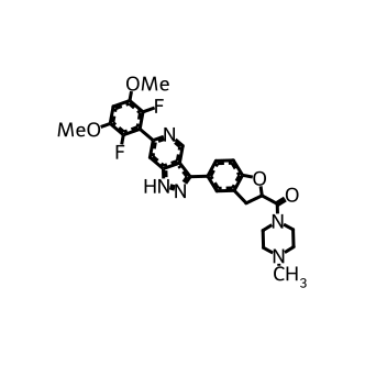 COc1cc(OC)c(F)c(-c2cc3[nH]nc(-c4ccc5c(c4)CC(C(=O)N4CCN(C)CC4)O5)c3cn2)c1F